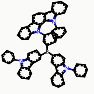 c1ccc(-n2c3ccccc3c3cc(B(c4cccc(-n5c6ccccc6c6ccc7c8ccccc8n(-c8ccccc8)c7c65)c4)c4ccc5c(c4)c4ccccc4n5-c4ccccc4)ccc32)cc1